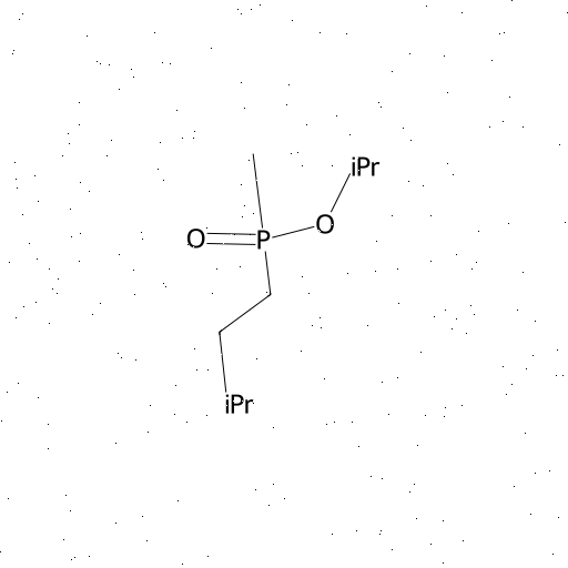 CC(C)CCP(C)(=O)OC(C)C